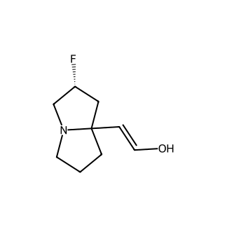 O/C=C/C12CCCN1C[C@H](F)C2